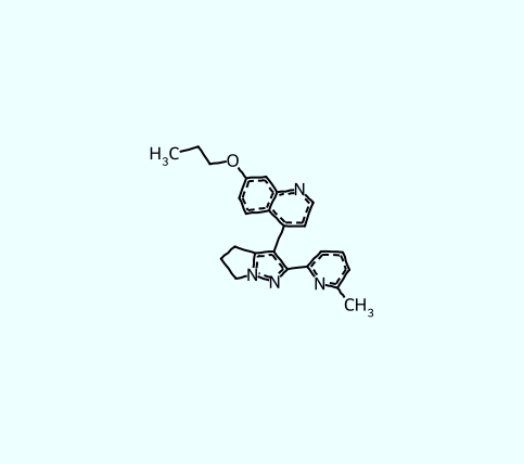 CCCOc1ccc2c(-c3c(-c4cccc(C)n4)nn4c3CCC4)ccnc2c1